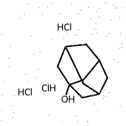 Cl.Cl.Cl.OC12CC3CC(CC(C3)C1)C2